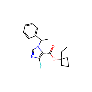 CCC1(OC(=O)c2c(F)ncn2[C@H](C)c2ccccc2)CCC1